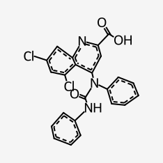 O=C(O)c1cc(N(C(=O)Nc2ccccc2)c2ccccc2)c2c(Cl)cc(Cl)cc2n1